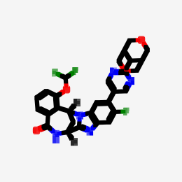 O=C1N[C@@H]2C[C@H](c3c(OC(F)F)cccc31)n1c2nc2cc(F)c(-c3cnc(C4C5COCC4COC5)nc3)cc21